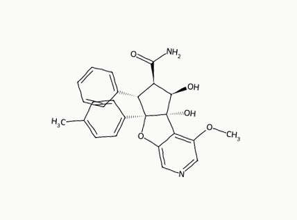 COc1cncc2c1[C@]1(O)[C@H](O)[C@H](C(N)=O)[C@@H](c3ccccc3)[C@]1(c1ccc(C)cc1)O2